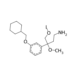 COC(CCN)(COI)c1cccc(OCC2CCCCC2)c1